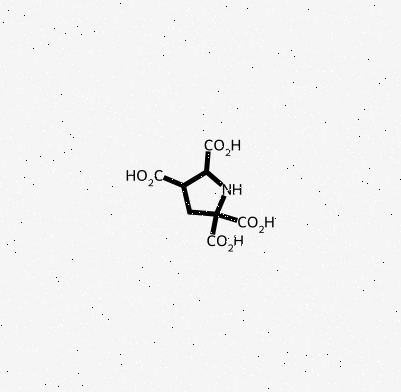 O=C(O)C1CC(C(=O)O)(C(=O)O)NC1C(=O)O